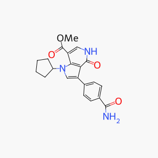 COC(=O)c1c[nH]c(=O)c2c(-c3ccc(C(N)=O)cc3)cn(C3CCCC3)c12